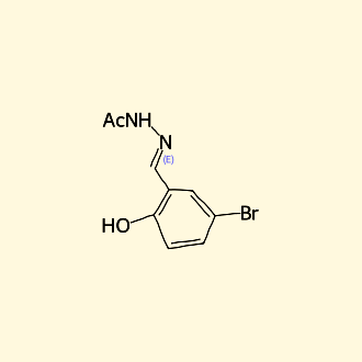 CC(=O)N/N=C/c1cc(Br)ccc1O